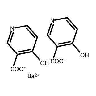 O=C([O-])c1cnccc1O.O=C([O-])c1cnccc1O.[Ba+2]